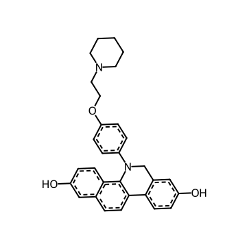 Oc1ccc2c(c1)CN(c1ccc(OCCN3CCCCC3)cc1)c1c-2ccc2cc(O)ccc12